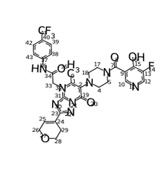 Cc1c(N2CCN(C(=O)c3cncc(F)c3O)CC2)c(=O)n2nc(C3=CCOCC3)nc2n1CC(=O)Nc1ccc(C(F)(F)F)cc1